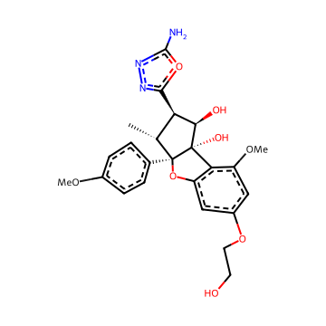 COc1ccc([C@@]23Oc4cc(OCCO)cc(OC)c4[C@]2(O)[C@H](O)[C@H](c2nnc(N)o2)[C@H]3C)cc1